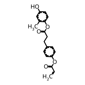 C=CC(=O)Oc1ccc(CCC(=O)Oc2ccc(O)cc2C)cc1